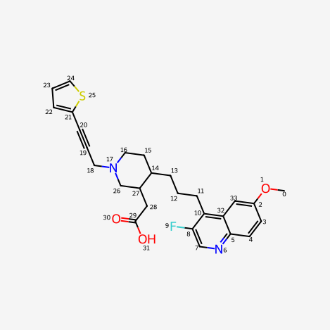 COc1ccc2ncc(F)c(CCCC3CCN(CC#Cc4cccs4)CC3CC(=O)O)c2c1